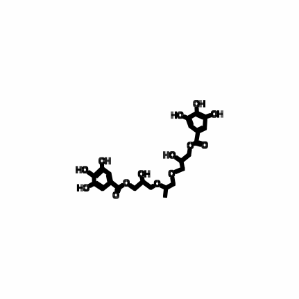 CC(COCC(O)COC(=O)c1cc(O)c(O)c(O)c1)OCC(O)COC(=O)c1cc(O)c(O)c(O)c1